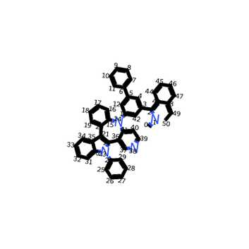 C=N/C(c1cc(-c2ccccc2)cc(N2c3ccccc3-c3c(n(-c4ccccc4)c4ccccc34)-c3cnccc32)c1)=c1/cccc/c1=C/C